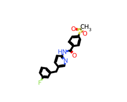 CS(=O)(=O)c1ccc(C(=O)Nc2ccc(Cc3cccc(F)c3)cn2)cc1